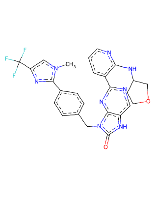 Cn1cc(C(F)(F)F)nc1-c1ccc(Cn2c(=O)[nH]c3cnc(-c4cccnc4NC4CCOC4)nc32)cc1